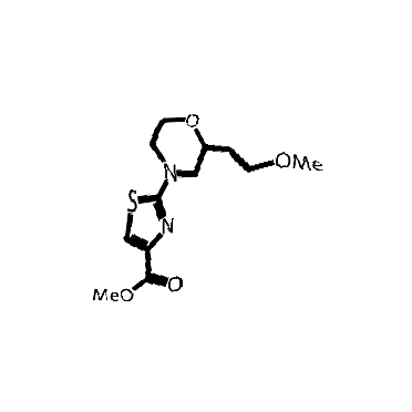 COCCC1CN(c2nc(C(=O)OC)cs2)CCO1